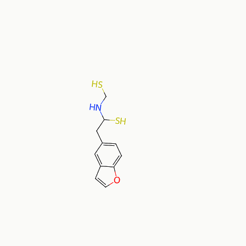 SCNC(S)Cc1ccc2occc2c1